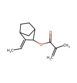 C=C(C)C(=O)OC1C(=CC)C2CCC1C2